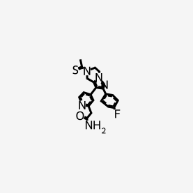 CC(=S)N1CCn2nc(-c3ccc(F)cc3)c(-c3ccnc(CC(N)=O)c3)c2C1